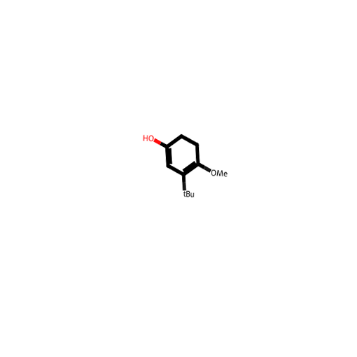 COC1=C(C(C)(C)C)C=C(O)CC1